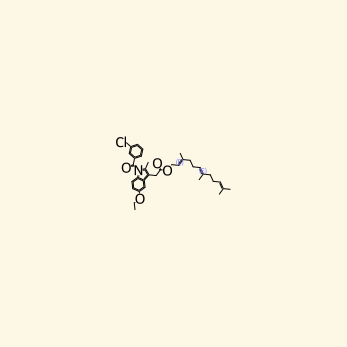 CCOc1ccc2c(c1)c(CC(=O)OC/C=C(\C)CC/C=C(\C)CCC=C(C)C)c(C)n2C(=O)c1cccc(Cl)c1